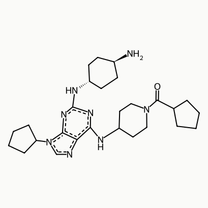 N[C@H]1CC[C@H](Nc2nc(NC3CCN(C(=O)C4CCCC4)CC3)c3ncn(C4CCCC4)c3n2)CC1